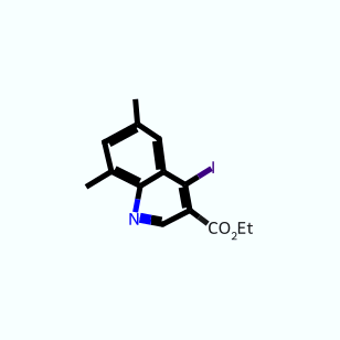 CCOC(=O)c1cnc2c(C)cc(C)cc2c1I